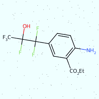 CCOC(=O)c1cc(C(F)(F)C(O)(F)C(F)(F)F)ccc1N